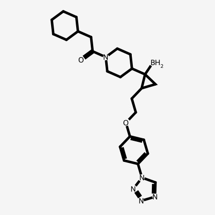 BC1(C2CCN(C(=O)CC3CCCCC3)CC2)CC1CCOc1ccc(-n2cnnn2)cc1